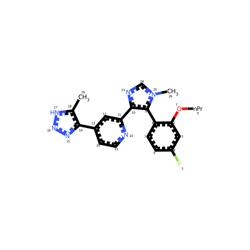 CCCOc1cc(F)ccc1-c1c(-c2cc(-c3nn[nH]c3C)ccn2)ncn1C